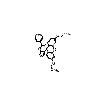 COCOc1ccc2c(c1)Oc1cc(OCOC)ccc1C21OC(c2ccccc2)=Nc2ccccc21